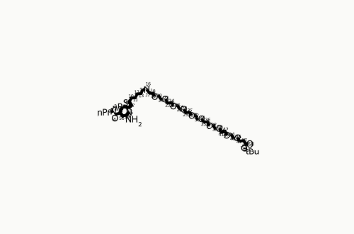 CCCN(CCC)C(=O)C1=Cc2sc(CCCCCN(C)CCOCCOCCOCCOCCOCCOCCOCCOCCOCCOCCC(=O)OC(C)(C)C)cc2N=C(N)C1